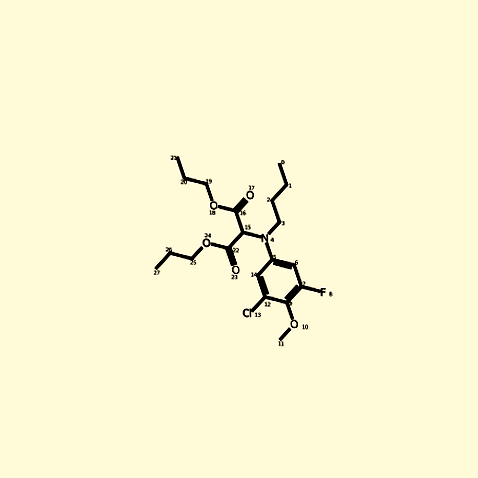 CCCCN(c1cc(F)c(OC)c(Cl)c1)C(C(=O)OCCC)C(=O)OCCC